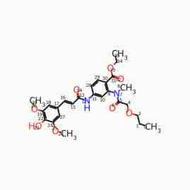 CCCOCC(=O)N(C)c1cc(NC(=O)C=Cc2cc(OC)c(O)c(OC)c2)ccc1C(=O)OCC